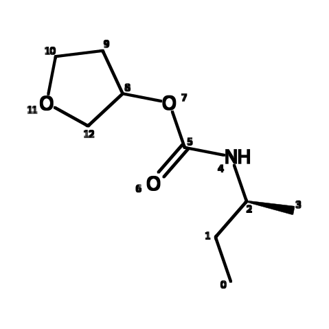 CC[C@H](C)NC(=O)OC1CCOC1